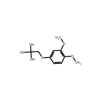 COc1ccc(OCC(O)(O)O)cc1OC